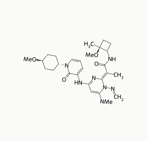 C=NN1C(NC)=CC(Nc2cccn([C@H]3CC[C@H](OC)CC3)c2=O)=N/C1=C(/C)C(=O)NC1CC[C@]1(C)OC